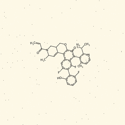 C=CC(=O)N1CC2COc3c(c4cc(F)c(-c5c(O)cccc5F)c(F)c4n(-c4c(C)ccnc4C(C)C)c3=O)C2=CC1C